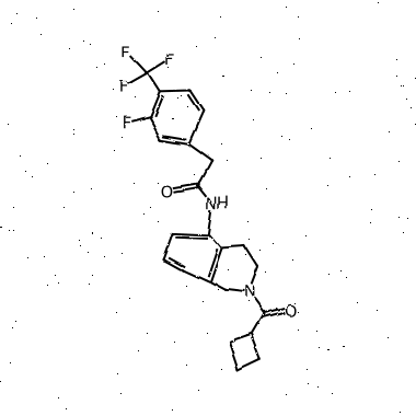 O=C(Cc1ccc(C(F)(F)F)c(F)c1)Nc1cccc2c1CCN(C(=O)C1CCC1)C2